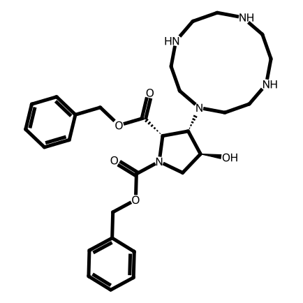 O=C(OCc1ccccc1)[C@@H]1[C@H](N2CCNCCNCCNCC2)[C@@H](O)CN1C(=O)OCc1ccccc1